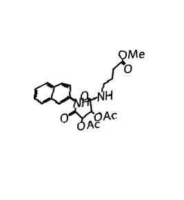 COC(=O)CCCNC(=O)C(OC(C)=O)C(OC(C)=O)C(=O)Nc1ccc2ccccc2c1